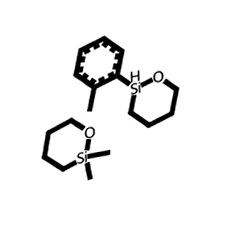 C[Si]1(C)CCCCO1.Cc1ccccc1[SiH]1CCCCO1